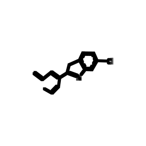 C=C/C=C(\C=C/C)C1=Nc2cc(Cl)ccc2C1